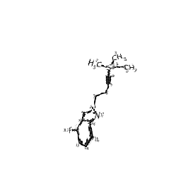 C[Si](C)(C)C#CCCn1cc2c(F)cccc2n1